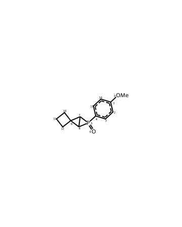 COc1ccc(P2(=O)C3C2C32CCC2)cc1